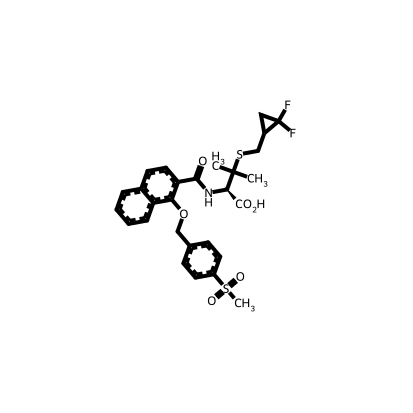 CC(C)(SCC1CC1(F)F)[C@H](NC(=O)c1ccc2ccccc2c1OCc1ccc(S(C)(=O)=O)cc1)C(=O)O